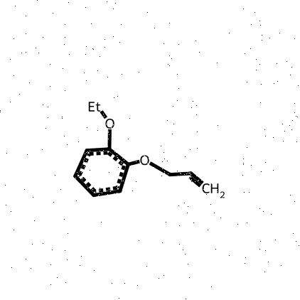 C=CCOc1ccccc1OCC